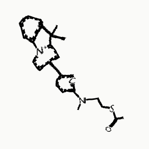 CC(=O)SCCN(C)c1ccc(-c2cc[n+]3c(c2)C(C)(C)c2ccccc2-3)cc1